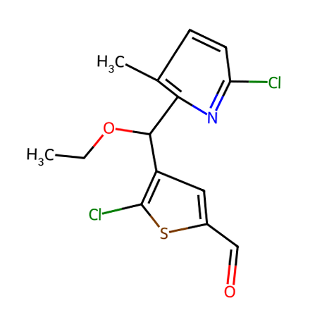 CCOC(c1cc(C=O)sc1Cl)c1nc(Cl)ccc1C